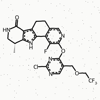 C[C@@H]1CNC(=O)c2c1[nH]c1c2CCc2cnc(Oc3nc(Cl)ncc3COCC(F)(F)F)c(F)c2-1